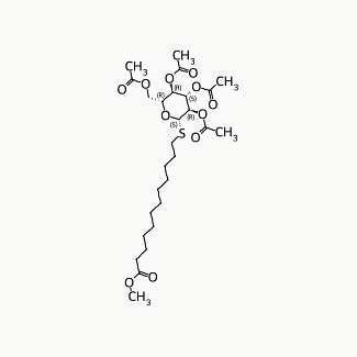 COC(=O)CCCCCCCCCCCS[C@@H]1O[C@H](COC(C)=O)[C@@H](OC(C)=O)[C@H](OC(C)=O)[C@H]1OC(C)=O